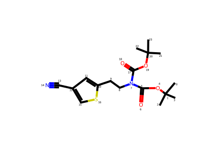 CC(C)(C)OC(=O)N(CCc1cc(C#N)cs1)C(=O)OC(C)(C)C